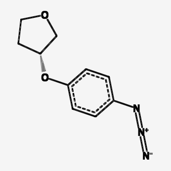 [N-]=[N+]=Nc1ccc(O[C@@H]2CCOC2)cc1